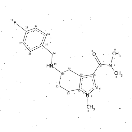 CN(C)C(=O)c1nn(C)c2c1CC(NCc1ccc(F)cc1)CC2